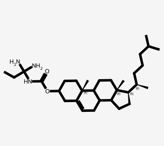 CCC(N)(N)NC(=O)OC1CC[C@@]2(C)C(=CCC3C2CC[C@@]2(C)C3CC[C@@H]2[C@H](C)CCCC(C)C)C1